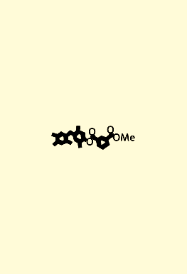 COC(=O)c1cccc(C(=O)Oc2cc(C)c(Cc3cc(C)c(C)cc3C)cc2C)c1